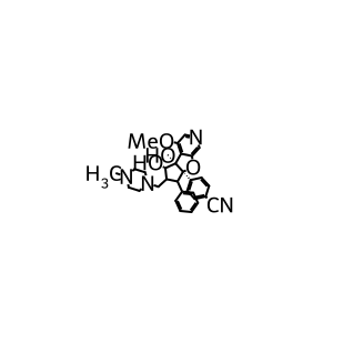 COc1cncc2c1[C@]1(O)[C@H](O)C(CN3CCN(C)CC3)C(c3ccccc3)[C@]1(c1ccc(C#N)cc1)O2